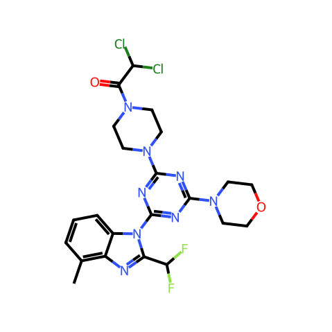 Cc1cccc2c1nc(C(F)F)n2-c1nc(N2CCOCC2)nc(N2CCN(C(=O)C(Cl)Cl)CC2)n1